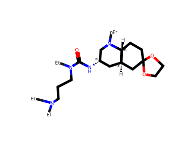 CCCN1C[C@@H](NC(=O)N(CC)CCCN(CC)CC)C[C@@H]2CC3(CC[C@H]21)OCCO3